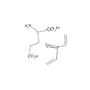 C=CC(=O)C=C.NC(CCC(=O)O)C(=O)O